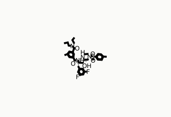 CCCN(CCC)C(=O)c1cc(C)cc(C(=O)N[C@@H](Cc2cc(F)cc(F)c2)C(O)[C@H]2CN(S(=O)(=O)c3ccc(C)cc3)CCN2)c1